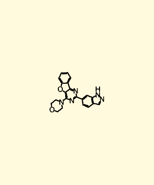 c1ccc2c(c1)oc1c(N3CCOCC3)nc(-c3ccc4cn[nH]c4c3)nc12